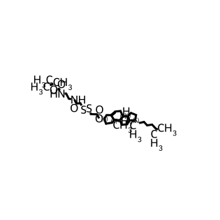 CC(C)CCCC[C@H]1CC[C@H]2[C@@H]3CC=C4C[C@@H](OC(=O)CSSCC(=O)NCCNC(=O)OC(C)(C)C)CC[C@]4(C)C3CC[C@]12C